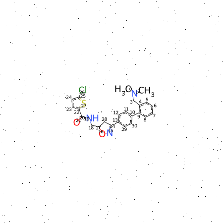 CN(C)Cc1ccccc1-c1ccc(C2=NOC(CNC(=O)c3ccc(Cl)s3)C2)cc1